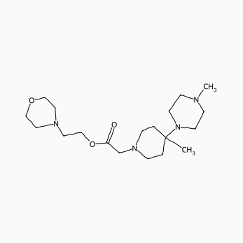 CN1CCN(C2(C)CCN(CC(=O)OCCN3CCOCC3)CC2)CC1